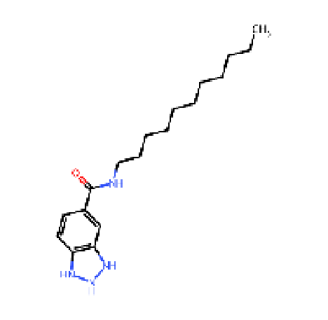 CCCCCCCCCCCNC(=O)c1ccc2c(c1)NNN2